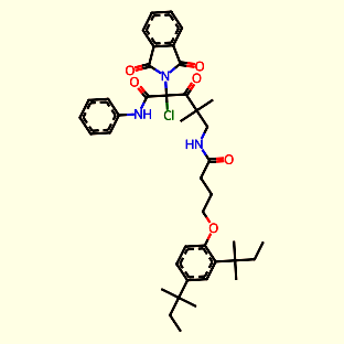 CCC(C)(C)c1ccc(OCCCC(=O)NCC(C)(C)C(=O)C(Cl)(C(=O)Nc2ccccc2)N2C(=O)c3ccccc3C2=O)c(C(C)(C)CC)c1